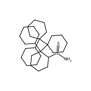 NS(=S)C1CCCCC1(C1CCCCC1)C1(C2(C3CCCCC3)CCCCC2)CCCCC1